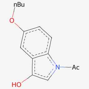 CCCCOc1ccc2c(c1)c(O)cn2C(C)=O